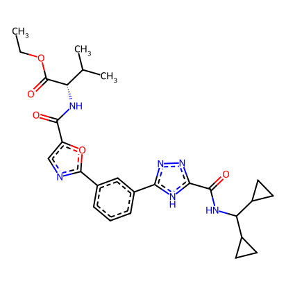 CCOC(=O)[C@@H](NC(=O)c1cnc(-c2cccc(-c3nnc(C(=O)NC(C4CC4)C4CC4)[nH]3)c2)o1)C(C)C